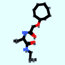 CC(NC(=O)COC1CCCCCCC1)C(=O)NCC(=O)O